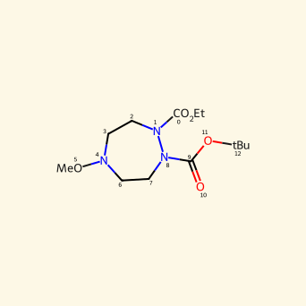 CCOC(=O)N1CCN(OC)CCN1C(=O)OC(C)(C)C